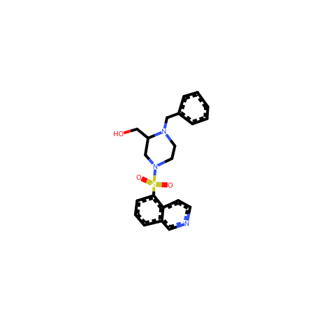 O=S(=O)(c1cccc2cnccc12)N1CCN(Cc2ccccc2)C(CO)C1